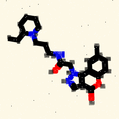 CCC1CCCCN1CCCNC(=O)Cn1ncc2c(=O)oc3ccc(C)cc3c21